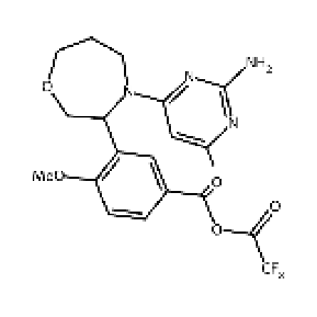 COc1ccc(C(=O)OC(=O)C(F)(F)F)cc1C1COCCCN1c1cc(C)nc(N)n1